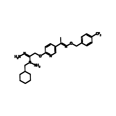 C/C(=N\OCc1ccc(C(F)(F)F)cc1)c1ccc(OC/C(=N/N)N(N)CC2CCCCC2)nc1